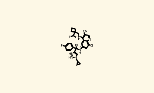 BC(Nc1cc(Cl)c2ncc(C#N)c(NCC3(C(F)F)CCC3)c2c1)(C1=CN(C2CC2)NN1)c1ccc(F)cc1